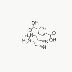 N#CCCN.N#CCCN.O=C(O)c1ccc(C(=O)O)cc1